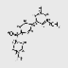 CCN1CCN(C(=O)C2C=CC(C3C=C(C)CNC3)CC2)CC1